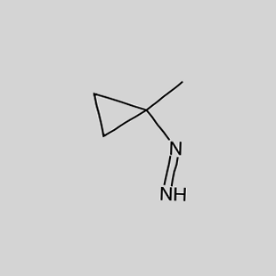 CC1(N=N)CC1